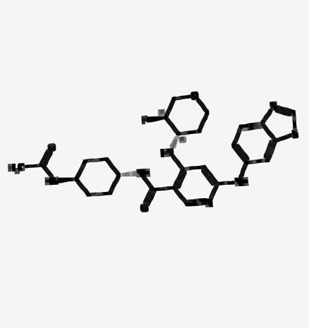 CC(=O)N[C@H]1CC[C@H](NC(=O)c2cnc(Nc3ccc4ncsc4c3)cc2N[C@H]2CCOC[C@@H]2F)CC1